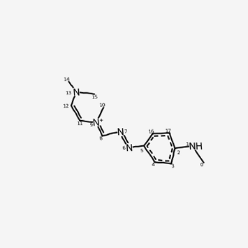 CNc1ccc(/N=N/C=[N+](C)/C=C\N(C)C)cc1